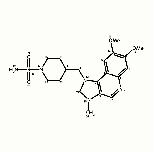 COc1cc2ncc3c(c2cc1OC)N(CC1CCN(S(N)(=O)=O)CC1)CN3C